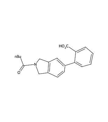 CCCCC(=O)N1Cc2ccc(-c3ccccc3C(=O)O)cc2C1